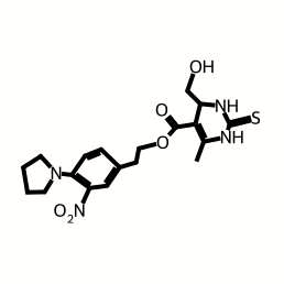 CC1=C(C(=O)OCCc2ccc(N3CCCC3)c([N+](=O)[O-])c2)C(CO)NC(=S)N1